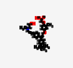 Cc1cc(OCC=C(c2ccc(C#CCN(C)CCO)cc2)c2ccc(C(C)(C)C)cc2)ccc1OCC(=O)O